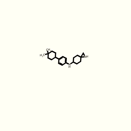 CC1(C)CCC(c2ccc(NC3CCC4(CC3)CN4)cc2)CC1